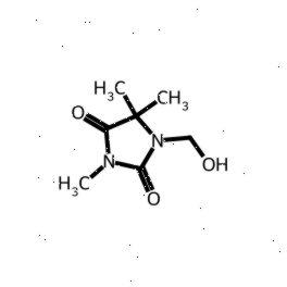 CN1C(=O)N(CO)C(C)(C)C1=O